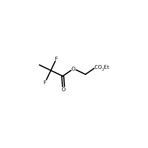 CCOC(=O)COC(=O)C(C)(F)F